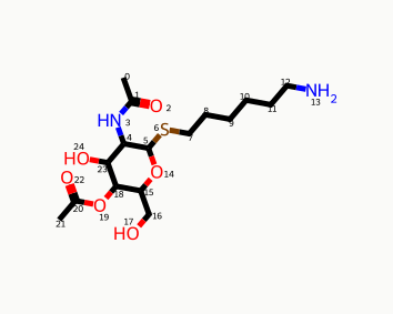 CC(=O)NC1C(SCCCCCCN)OC(CO)C(OC(C)=O)C1O